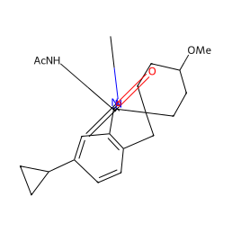 COC1CCC2(CC1)Cc1ccc(C3CC3)cc1C21N=C(NC(C)=O)N(C)C1=O